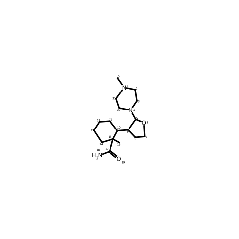 CN1CCN(C2OCCC2C2CCCCC2(C)C(N)=O)CC1